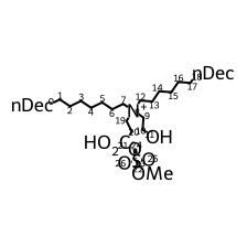 CCCCCCCCCCCCCCCCC[N+](CCO)(CCCCCCCCCCCCCCCC)CCC(=O)O.COS(=O)(=O)[O-]